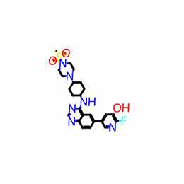 CS(=O)(=O)N1CCN([C@H]2CC[C@H](Nc3ncnc4ccc(-c5cnc(F)c(O)c5)cc34)CC2)CC1